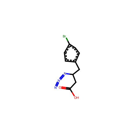 [N-]=[N+]=NC(CC(=O)O)Cc1ccc(Br)cc1